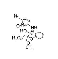 COCC1(COC)Oc2ccccc2[C@@H](Nc2ccc(C#N)[n+]([O-])c2)[C@@H]1O